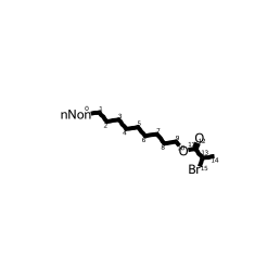 CCCCCCCCCCCCCCCCCCOC(=O)C(C)Br